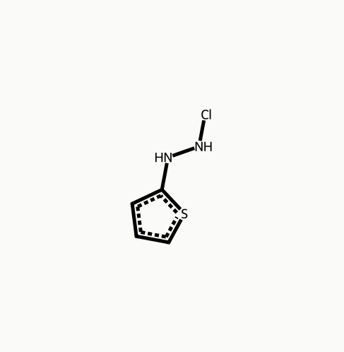 ClNNc1cccs1